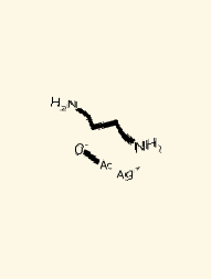 CC(=O)[O-].NCCN.[Ag+]